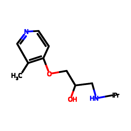 Cc1cnccc1OCC(O)CNC(C)C